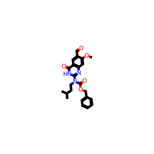 COc1cc2nc(N(CCC(C)C)C(=O)OCc3ccccc3)[nH]c(=O)c2cc1C=O